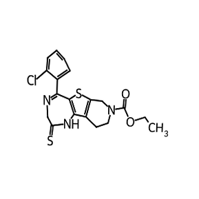 CCOC(=O)N1CCc2c(sc3c2NC(=S)CN=C3c2ccccc2Cl)C1